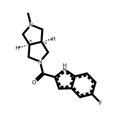 CN1C[C@@H]2CN(C(=O)c3cc4cc(F)ccc4[nH]3)C[C@@H]2C1